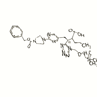 CCCC(C(=O)O)[C@H](Cc1cnc(N2CCN(C(=O)OCc3ccccc3)CC2)nc1)c1nnnn1COCC[Si](C)(C)C